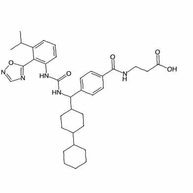 CC(C)c1cccc(NC(=O)NC(c2ccc(C(=O)NCCC(=O)O)cc2)C2CCC(C3CCCCC3)CC2)c1-c1ncno1